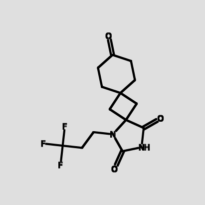 O=C1CCC2(CC1)CC1(C2)C(=O)NC(=O)N1CCC(F)(F)F